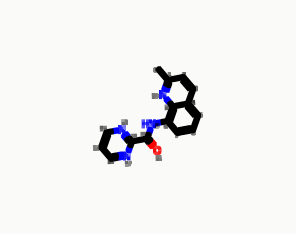 Cc1ccc2cccc(NC(=O)c3ncccn3)c2n1